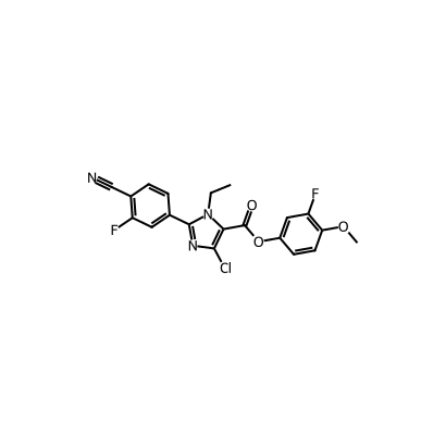 CCn1c(-c2ccc(C#N)c(F)c2)nc(Cl)c1C(=O)Oc1ccc(OC)c(F)c1